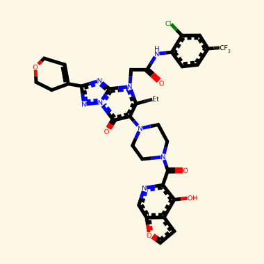 CCc1c(N2CCN(C(=O)c3ncc4occc4c3O)CC2)c(=O)n2nc(C3=CCOCC3)nc2n1CC(=O)Nc1ccc(C(F)(F)F)cc1Cl